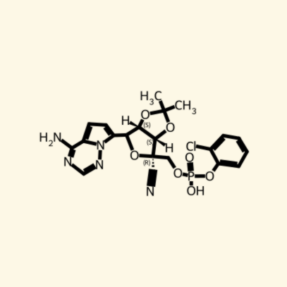 CC1(C)O[C@H]2C(c3ccc4c(N)ncnn34)O[C@](C#N)(COP(=O)(O)Oc3ccccc3Cl)[C@H]2O1